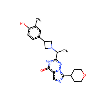 Cc1cc(C2CN(C(C)c3nn4c(C5CCOCC5)ncc4c(=O)[nH]3)C2)ccc1O